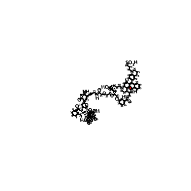 CSSC(C)c1ccccc1C(=O)OC1C[C@H](n2cc(C#CCNC(=O)COCCOC(COc3cccc(C(=O)NCCNC(=O)c4ccccc4C4=C5C=C6CCCN(CCCS(=O)(=O)O)C6C=C5Oc5cc6c(cc54)CCCN6CCCS(=O)(=O)O)c3)N=[N+]=[N-])c(N)nc2=O)O[C@@H]1COP(=O)(O)OP(=O)(O)OP(=O)(O)O